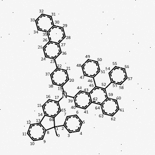 CC1(c2ccccc2)c2ccccc2-c2ccc(N(c3ccc(-c4ccc5c(ccc6ccccc65)c4)cc3)c3ccc4c(c3)c(-c3ccccc3)c(-c3ccccc3)c3ccccc34)cc21